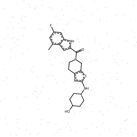 Cc1cc(F)cc2[nH]c(C(=O)N3CCc4nc(NC5CCC(O)CC5)sc4C3)cc12